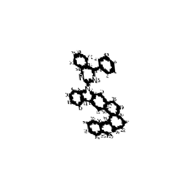 c1ccc(-c2nc(-n3c4ccccc4c4cc5c(ccc6ccc7sc8ccccc8c7c65)cc43)nc3ccccc23)cc1